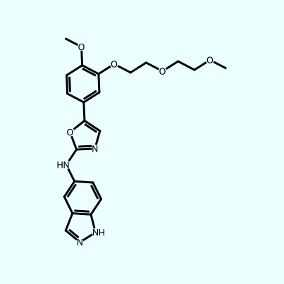 COCCOCCOc1cc(-c2cnc(Nc3ccc4[nH]ncc4c3)o2)ccc1OC